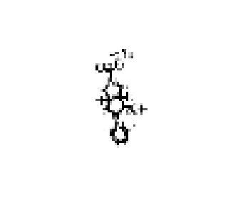 CC(C)(C)OC(=O)N1C[C@H]2CC(n3ccnc3)C(O)[C@H]2C1